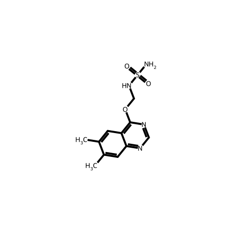 Cc1cc2ncnc(OCNS(N)(=O)=O)c2cc1C